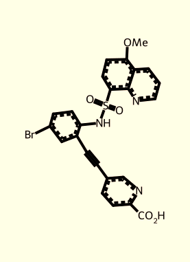 COc1ccc(S(=O)(=O)Nc2ccc(Br)cc2C#Cc2ccc(C(=O)O)nc2)c2ncccc12